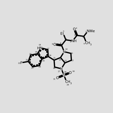 CCC(NC(=O)C(C)NC)C(=O)N1CCC2C1C(c1c[nH]c3cc(F)ccc13)CN2S(C)(=O)=O